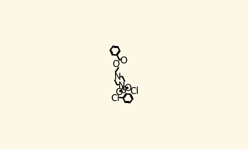 O=C(OCCN1CCN(S(=O)(=O)c2c(Cl)cccc2Cl)CC1)c1ccccc1